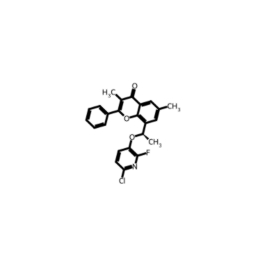 Cc1cc([C@@H](C)Oc2ccc(Cl)nc2F)c2oc(-c3ccccc3)c(C)c(=O)c2c1